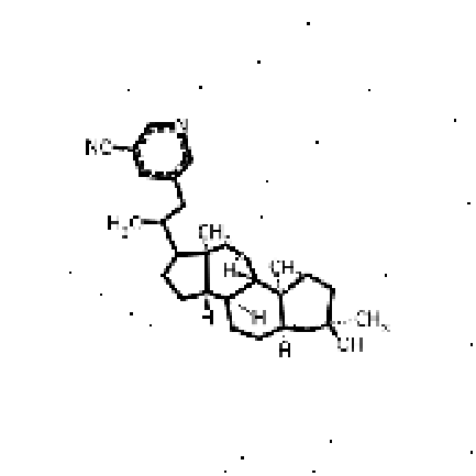 C[C@@H](Cc1cncc(C#N)c1)C1CC[C@H]2[C@@H]3CC[C@@H]4C[C@](C)(O)CC[C@]4(C)[C@H]3CC[C@]12C